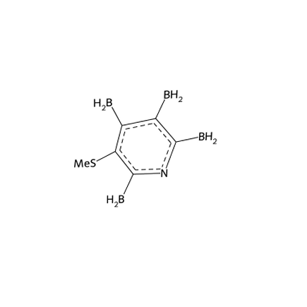 Bc1nc(B)c(SC)c(B)c1B